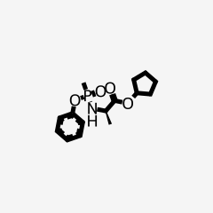 C[C@@H](NP(C)(=O)Oc1ccccc1)C(=O)OC1CCCC1